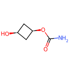 NC(=O)O[C@H]1C[C@@H](O)C1